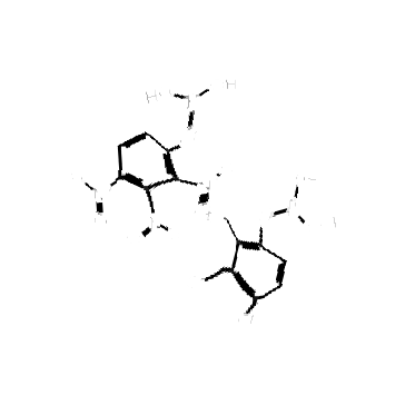 O=[N+]([O-])c1ccc(OP(O)O)c([N+](=O)[O-])c1[N+](=O)[O-].OP(O)Oc1ccc(Cl)c(Cl)c1Cl